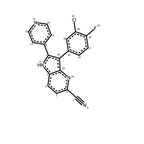 N#Cc1ccc2[nH]c(-c3ccncc3)c(-c3ccc(F)c(Cl)c3)c2n1